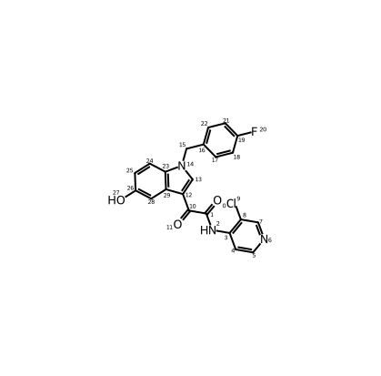 O=C(Nc1ccncc1Cl)C(=O)c1cn(Cc2ccc(F)cc2)c2ccc(O)cc12